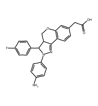 Nc1ccc(N2N=C3c4ccc(CC(=O)O)cc4OCC3C2c2ccc(F)cc2)cc1